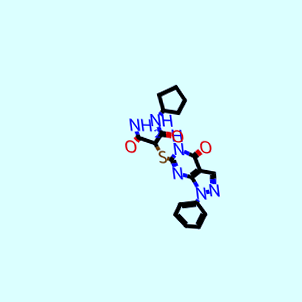 NC(=O)C(Sc1nc2c(cnn2-c2ccccc2)c(=O)[nH]1)C(=O)NC1CCCC1